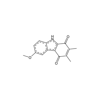 COc1ccc2[nH]c3c(c2c1)C(=O)C(C)=C(C)C3=O